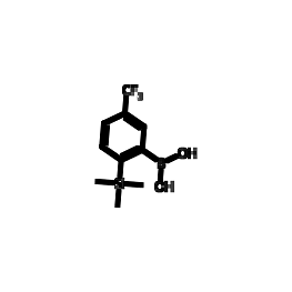 C[Si](C)(C)c1ccc(C(F)(F)F)cc1B(O)O